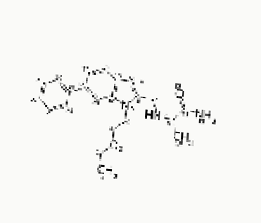 CCOCCn1c(CN[C@@H](C)C(N)=O)nc2ccc(-c3ccccc3)cc21